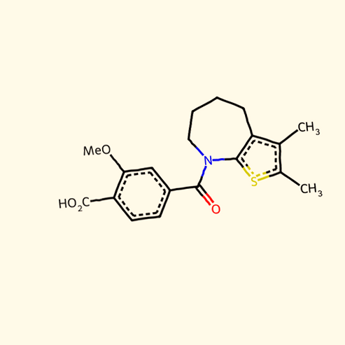 COc1cc(C(=O)N2CCCCc3c2sc(C)c3C)ccc1C(=O)O